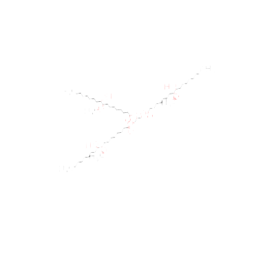 CCCCCCCCC(O)C(CCCCCCCC(=O)OCC(COC(=O)CCCCCCCC(OC)C(O)CCCCCCCC)OC(=O)CCCCCCCC(OC)C(O)CCCCCCCC)OC